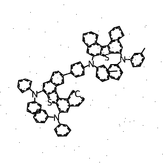 Cc1cccc(N(c2ccccc2)c2cc3ccccc3c3c2sc2c(N(c4ccc(-c5ccc6cc(N(c7ccccc7)c7ccccc7)c7sc8c(N(c9ccccc9)c9ccccc9)cc9ccccc9c8c7c6c5)cc4)c4cccc(C)c4)cc4ccccc4c23)c1